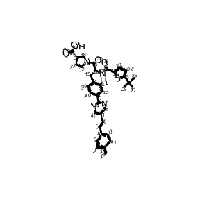 Cc1ccc(/C=C/c2cnc(-c3ccc(C[C@H](NC(=O)c4ccc(C(C)(C)C)s4)C(=O)N4CC[C@H](C(=O)O)C4)cc3)nc2)cc1